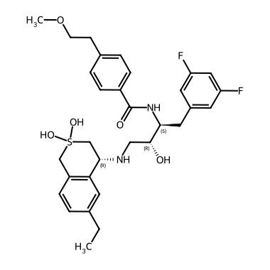 CCc1ccc2c(c1)[C@@H](NC[C@@H](O)[C@H](Cc1cc(F)cc(F)c1)NC(=O)c1ccc(CCOC)cc1)CS(O)(O)C2